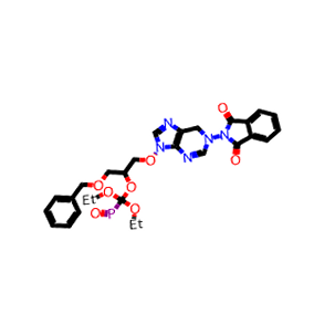 CCOC(OCC)(OC(COCc1ccccc1)COn1cnc2c1N=CN(N1C(=O)c3ccccc3C1=O)C2)P=O